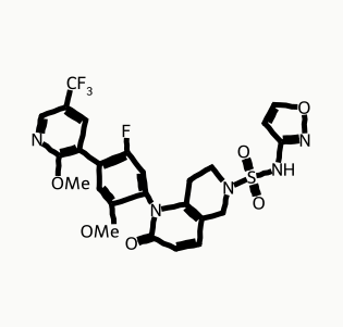 COc1cc(-c2cc(C(F)(F)F)cnc2OC)c(F)cc1-n1c2c(ccc1=O)CN(S(=O)(=O)Nc1ccon1)CC2